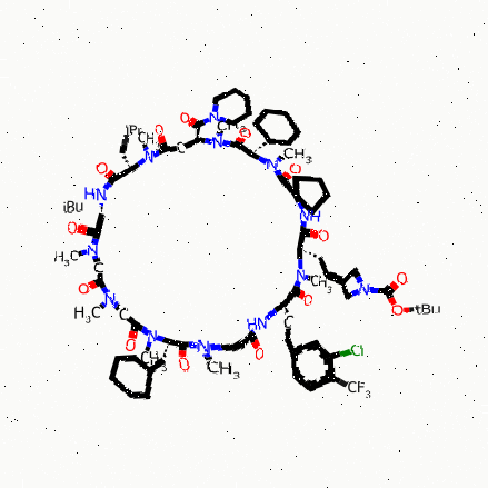 CC[C@H](C)[C@@H]1NC(=O)[C@H](CC(C)C)N(C)C(=O)C[C@@H](C(=O)N2CCCCC2)N(C)C(=O)[C@H](C2CCCCC2)N(C)C(=O)C2(CCCC2)NC(=O)[C@H](CC=C2CN(C(=O)OC(C)(C)C)C2)N(C)C(=O)[C@H](CCc2ccc(C(F)(F)F)c(Cl)c2)NC(=O)CN(C)C(=O)[C@H](CC2CCCCC2)N(C)C(=O)CN(C)C(=O)CN(C)C1=O